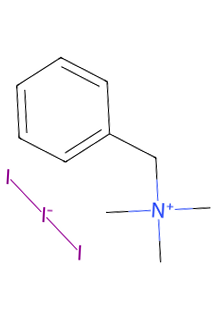 C[N+](C)(C)Cc1ccccc1.I[I-]I